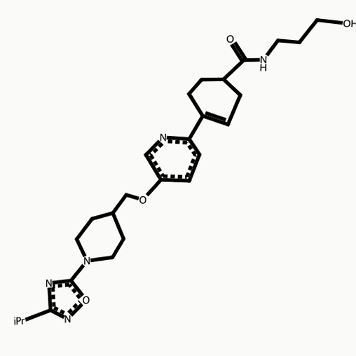 CC(C)c1noc(N2CCC(COc3ccc(C4=CCC(C(=O)NCCCO)CC4)nc3)CC2)n1